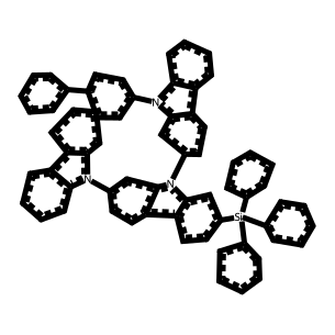 c1ccc(-c2ccc(-n3c4ccccc4c4ccc(-n5c6cc(-n7c8ccccc8c8ccccc87)ccc6c6ccc([Si](c7ccccc7)(c7ccccc7)c7ccccc7)cc65)cc43)cc2)cc1